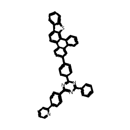 c1ccc(-c2nc(-c3ccc(-c4ccc5c(c4)c4ccccc4c4c5ccc5c6ccccc6sc54)cc3)nc(-c3ccc(-c4ccccn4)cc3)n2)cc1